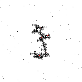 CC(C)(C)S(F)(c1ccc(C(=O)NC(CNC(=O)CN2CCN(CC(=O)O)CCN(CC(=O)O)CCN(CC(=O)O)CC2)C(=O)NC(CCCCNC(=O)CCC(=O)NCCCC(NC(=O)CC[C@H](NC(=O)N[C@@H](CCC(=O)O)C(=O)O)C(=O)O)C(=O)O)C(=O)O)cc1)C(C)(C)C